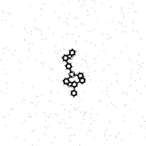 c1ccc(-c2cc(-c3ccccc3)c3oc4cccc(-c5nc(-c6ccccc6)nc(-c6ccc(-c7cccc8c7oc7ccccc78)cc6)n5)c4c3c2)cc1